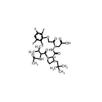 CC(=O)NC(C(=O)N1CC[C@H](CC(C)(C)C)[C@@H]1C(=O)NN(CC(=O)O)C(=O)COc1c(F)c(F)cc(F)c1F)C(C)C